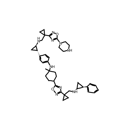 CC1(Nc2ccc([C@@H]3C[C@H]3NCC3(c4noc(N5CCNCC5)n4)CC3)cc2)CCC(c2nc(C3(CN[C@@H]4C[C@H]4c4ccccc4)CC3)no2)CC1